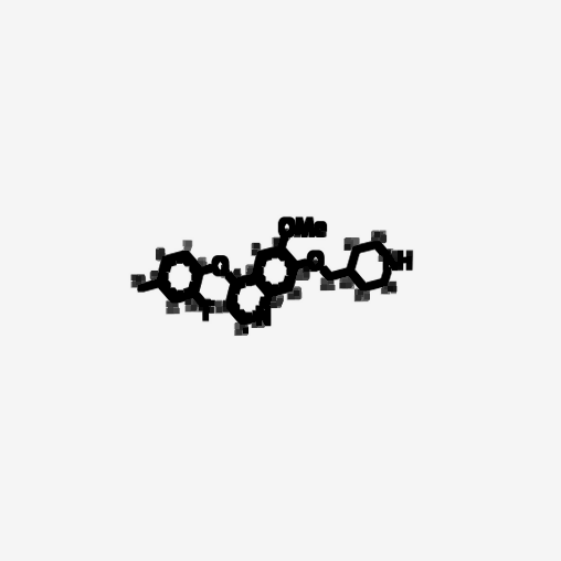 COc1cc2c(Oc3ccc(C)cc3F)ccnc2cc1OCC1CCNCC1